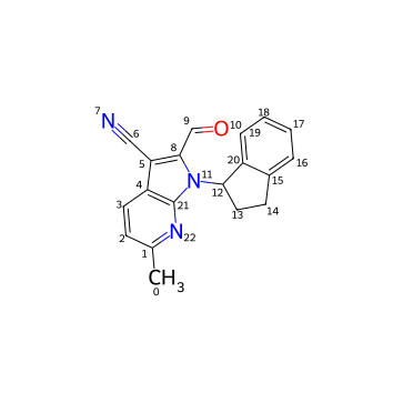 Cc1ccc2c(C#N)c(C=O)n(C3CCc4ccccc43)c2n1